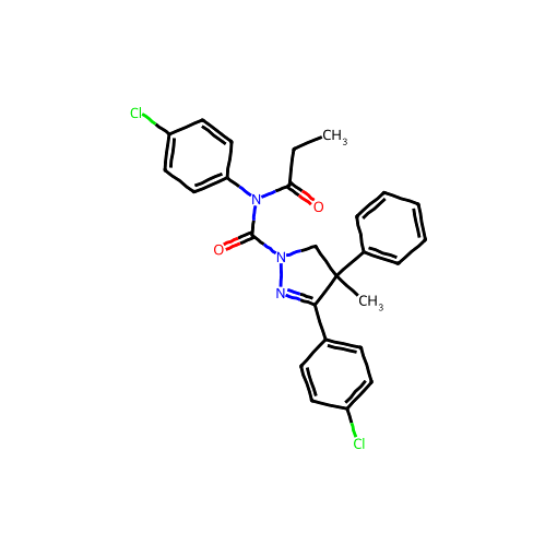 CCC(=O)N(C(=O)N1CC(C)(c2ccccc2)C(c2ccc(Cl)cc2)=N1)c1ccc(Cl)cc1